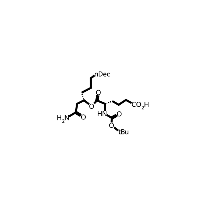 CCCCCCCCCCCCC[C@@H](CC(N)=O)OC(=O)[C@H](CCCC(=O)O)NC(=O)OC(C)(C)C